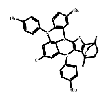 CC(C)(C)c1ccc(N2c3ccc(C(C)(C)C)cc3B3c4sc5c(c4N(c4ccc(C(C)(C)C)cc4)c4cc(Cl)cc2c43)C2(C)CCC5(C)CC2)cc1